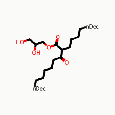 CCCCCCCCCCCCCCCC(=O)C(CCCCCCCCCCCCCC)C(=O)OCC(O)CO